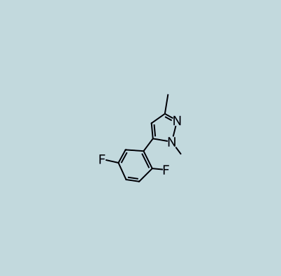 Cc1cc(-c2cc(F)ccc2F)n(C)n1